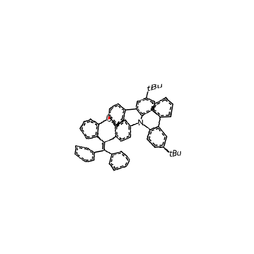 CC(C)(C)c1ccc(N(c2ccc3c(c2)Oc2ccccc2C3=C(c2ccccc2)c2ccccc2)c2ccc(C(C)(C)C)cc2-c2ccccc2)c(-c2ccccc2)c1